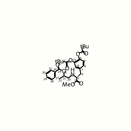 COC(=O)[C@H](Cc1ccc(OC(=O)C(C)(C)C)c(OC(=O)C(C)(C)C)c1)NCC(C)OC(=O)c1ccccc1